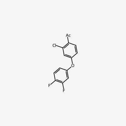 CC(=O)c1ccc(Oc2ccc(F)c(F)c2)cc1Cl